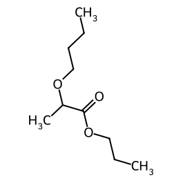 CCCCOC(C)C(=O)OCCC